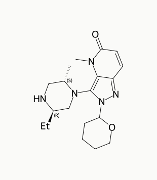 CC[C@@H]1CN(c2c3c(ccc(=O)n3C)nn2C2CCCCO2)[C@@H](C)CN1